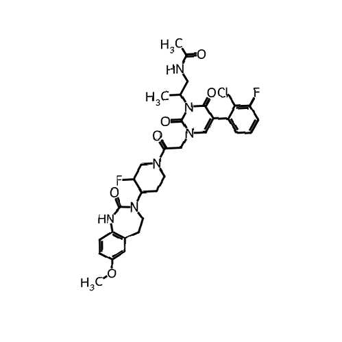 COc1ccc2c(c1)CCN(C1CCN(C(=O)Cn3cc(-c4cccc(F)c4Cl)c(=O)n(C(C)CNC(C)=O)c3=O)CC1F)C(=O)N2